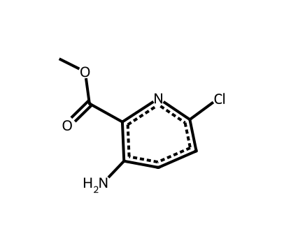 COC(=O)c1nc(Cl)ccc1N